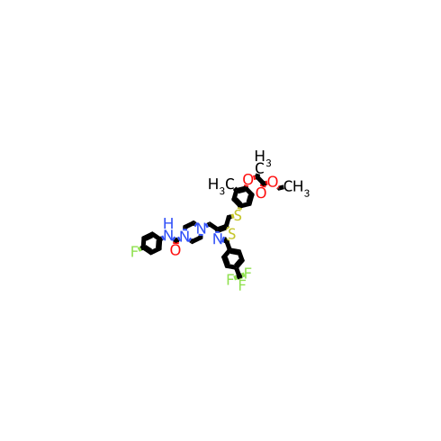 CCOC(=O)C(C)Oc1ccc(SCc2sc(-c3ccc(C(F)(F)F)cc3)nc2CN2CCN(C(=O)Nc3ccc(F)cc3)CC2)cc1C